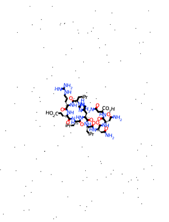 CC(C)C[C@H](NC(=O)[C@H](Cc1c[nH]cn1)NC(=O)[C@H](CC(C)C)NC(=O)[C@H](CCC(=O)O)NC(=O)[C@H](CCCNC(=N)N)NC(=O)[C@@H](N)CC(C)C)C(=O)N[C@@H](CC(N)=O)C(=O)N[C@@H](CC(N)=O)C(=O)N[C@@H](CC(N)=O)C(=O)O